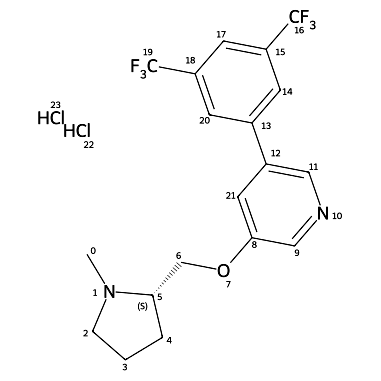 CN1CCC[C@H]1COc1cncc(-c2cc(C(F)(F)F)cc(C(F)(F)F)c2)c1.Cl.Cl